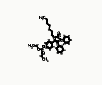 CCCCCCCn1c(-c2ccccc2)c(-c2ccccc2)n(-c2ccccc2)c1=O.CCO[PH](=O)OCC